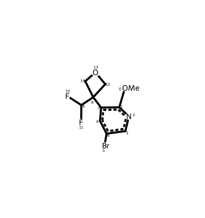 COc1ncc(Br)cc1C1(C(F)F)COC1